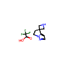 O=C(O)C(F)(F)F.c1cc2n(n1)CCC21CNC1